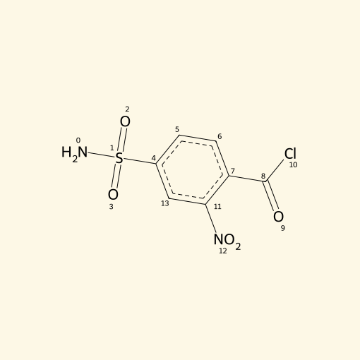 NS(=O)(=O)c1ccc(C(=O)Cl)c([N+](=O)[O-])c1